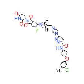 N#Cc1ccc(O[C@H]2CC[C@H](NC(=O)c3ccc(N4CC5CC4CN5C[C@H]4[C@@H]5CN(c6cc7c(cc6F)C(=O)N(C6CCC(=O)NC6=O)C7=O)C[C@@H]54)nn3)CC2)cc1Cl